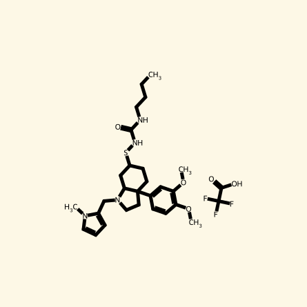 CCCCNC(=O)NSC1CCC2(c3ccc(OC)c(OC)c3)CCN(Cc3cccn3C)C2C1.O=C(O)C(F)(F)F